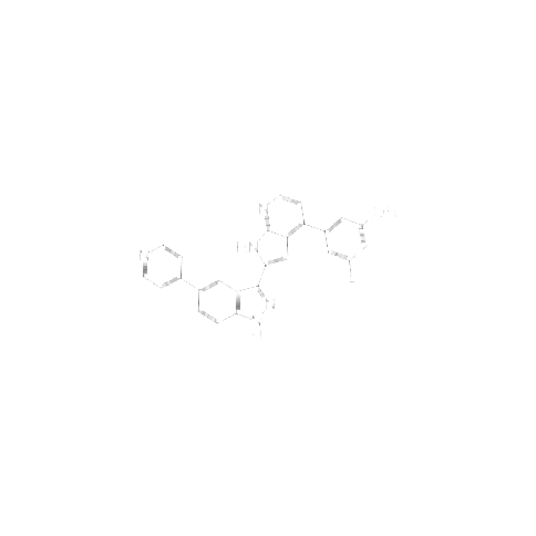 Oc1cc(F)cc(-c2ccnc3[nH]c(-c4n[nH]c5ccc(-c6ccncc6)cc45)cc23)c1